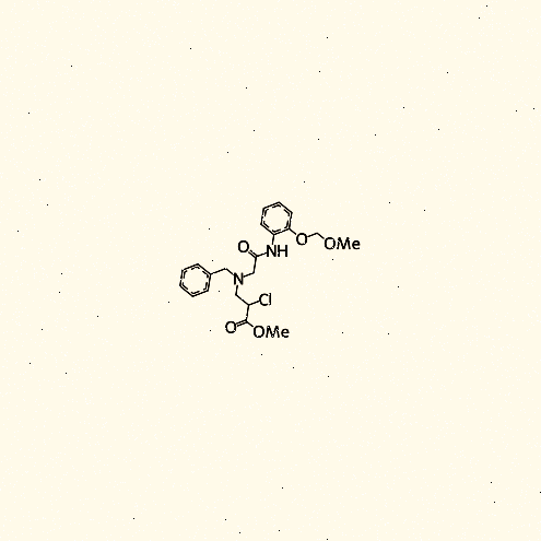 COCOc1ccccc1NC(=O)CN(Cc1ccccc1)CC(Cl)C(=O)OC